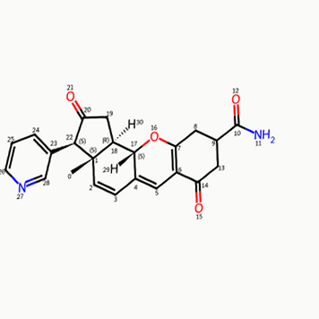 C[C@]12C=CC3=CC4=C(CC(C(N)=O)CC4=O)O[C@H]3[C@@H]1CC(=O)[C@@H]2c1cccnc1